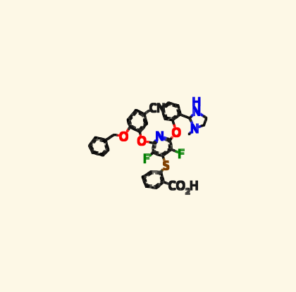 CN1CCNC1c1ccccc1Oc1nc(Oc2cc(C#N)ccc2OCc2ccccc2)c(F)c(Sc2ccccc2C(=O)O)c1F